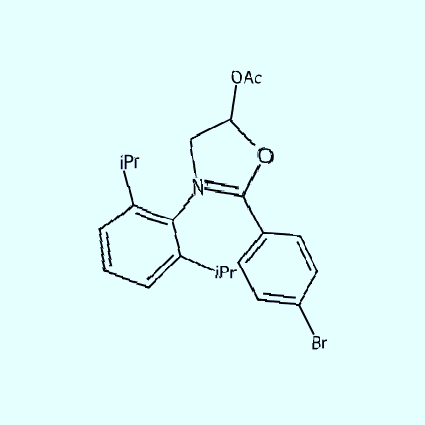 CC(=O)OC1C[N+](c2c(C(C)C)cccc2C(C)C)=C(c2ccc(Br)cc2)O1